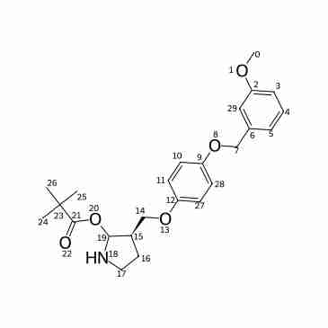 COc1cccc(COc2ccc(OC[C@H]3CCNC3OC(=O)C(C)(C)C)cc2)c1